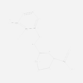 O=C(O)C1CCNC(CCc2cccc(Cl)c2F)C1